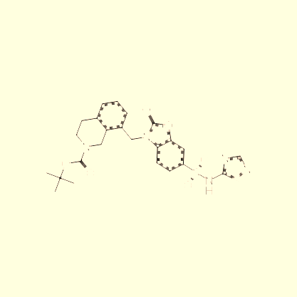 CC(C)(C)OC(=O)N1CCc2cccc(Cn3c(=O)oc4cc(S(=O)(=O)Nc5ncns5)ccc43)c2C1